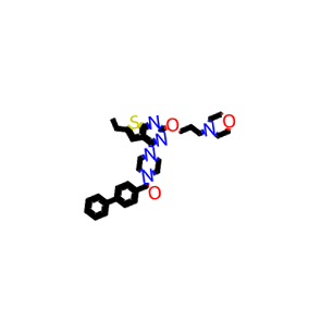 CCc1cc2c(N3CCN(C(=O)c4ccc(-c5ccccc5)cc4)CC3)nc(OCCCN3CCOCC3)nc2s1